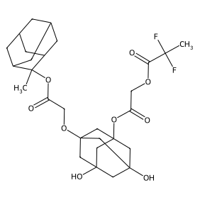 CC(F)(F)C(=O)OCC(=O)OC12CC3(O)CC(O)(CC(OCC(=O)OC4(C)C5CC6CC(C5)CC4C6)(C3)C1)C2